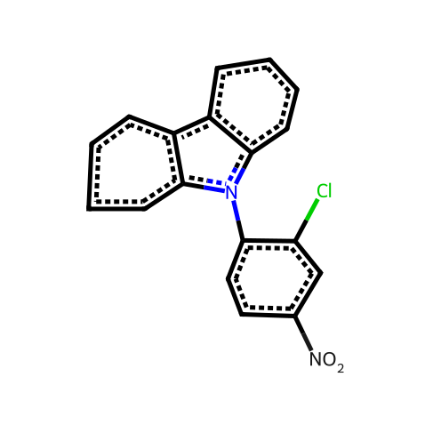 O=[N+]([O-])c1ccc(-n2c3ccccc3c3ccccc32)c(Cl)c1